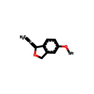 C=C=C1OCc2cc(OCCC)ccc21